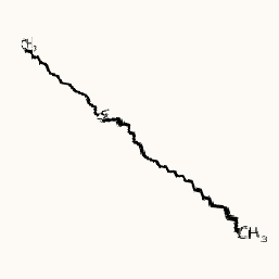 CCCCCCCCCCCCCCCCCCCCCCCCCCCCSCCCCCCCCCCCCCCCC